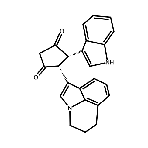 O=C1CC(=O)[C@@H](c2cn3c4c(cccc24)CCC3)[C@H]1c1c[nH]c2ccccc12